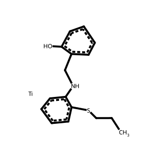 CCCSc1ccccc1NCc1ccccc1O.[Ti]